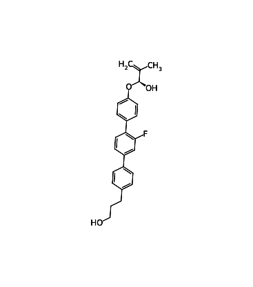 C=C(C)[C@@H](O)Oc1ccc(-c2ccc(-c3ccc(CCCO)cc3)cc2F)cc1